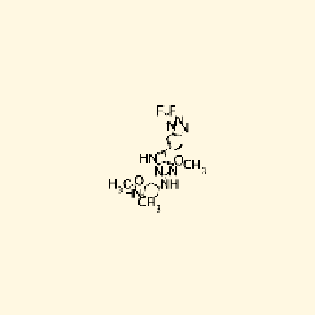 COc1nc(N[C@H]2CC[C@](C)(NC(C)=O)CC2)nc2[nH]cc(-c3ccc4nnn(CC(F)F)c4c3)c12